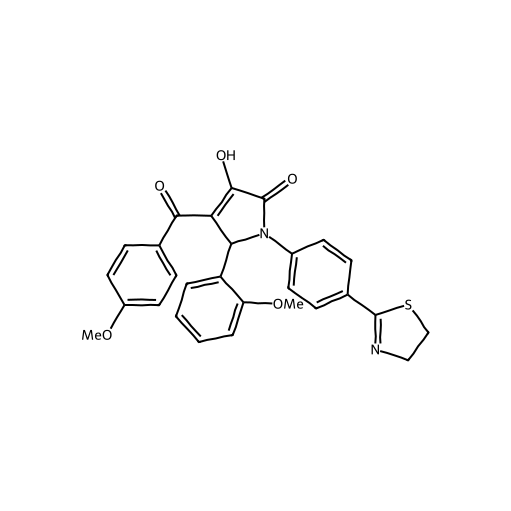 COc1ccc(C(=O)C2=C(O)C(=O)N(c3ccc(C4=NCCS4)cc3)C2c2ccccc2OC)cc1